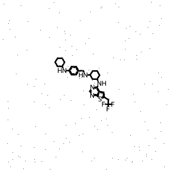 FC(F)(F)Cc1cc2c(NC3CCCC(NCc4ccc(NC5CCCCC5)cc4)C3)ncnc2s1